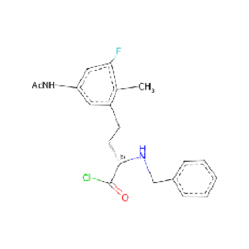 CC(=O)Nc1cc(F)c(C)c(CC[C@H](NCc2ccccc2)C(=O)Cl)c1